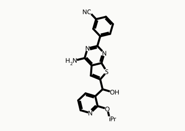 CC(C)Oc1ncccc1C(O)c1cc2c(N)nc(-c3cccc(C#N)c3)nc2s1